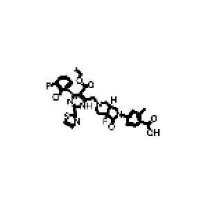 CCOC(=O)C1=C(CN2CC[C@]3(F)C(=O)N(c4ccc(C(=O)O)c(C)c4)C[C@@H]3C2)NC(c2nccs2)=N[C@H]1c1cccc(F)c1Cl